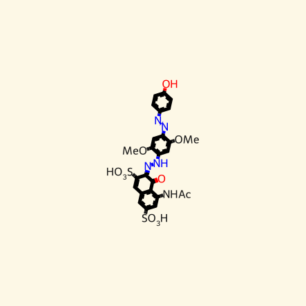 COc1cc(N/N=C2\C(=O)c3c(cc(S(=O)(=O)O)cc3NC(C)=O)C=C2S(=O)(=O)O)c(OC)cc1/N=N/c1ccc(O)cc1